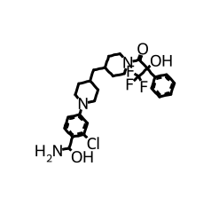 NC(O)c1ccc(N2CCC(CC3CCN(C(=O)C(O)(c4ccccc4)C(F)(F)F)CC3)CC2)cc1Cl